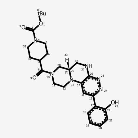 CC(C)(C)OC(=O)N1CCC(C(=O)N2CCN3c4cc(-c5ccccc5O)nnc4NC[C@H]3C2)CC1